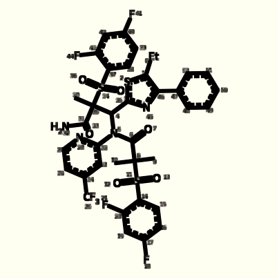 CCc1sc(C(N(C(=O)C(C)(C)S(=O)(=O)c2ccc(F)cc2F)c2cc(C(F)(F)F)ccn2)C(C)(C(N)=O)S(=O)(=O)c2ccc(F)cc2F)nc1-c1ccccc1